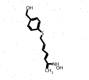 C=C(/C=C/C=C/CSc1ccc(CO)cc1)NO